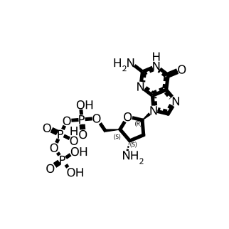 Nc1nc2c(ncn2[C@H]2C[C@H](N)[C@@H](COP(=O)(O)OP(=O)(O)OP(=O)(O)O)O2)c(=O)[nH]1